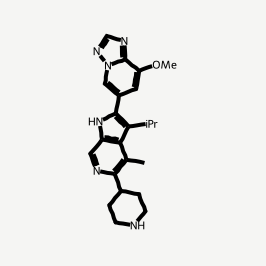 COc1cc(-c2[nH]c3cnc(C4CCNCC4)c(C)c3c2C(C)C)cn2ncnc12